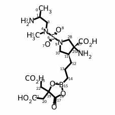 CC(N)CN(C)S(=O)(=O)N1C[C@H](CCCB2OC(=O)C(CC(=O)O)(CC(=O)O)O2)[C@](N)(C(=O)O)C1